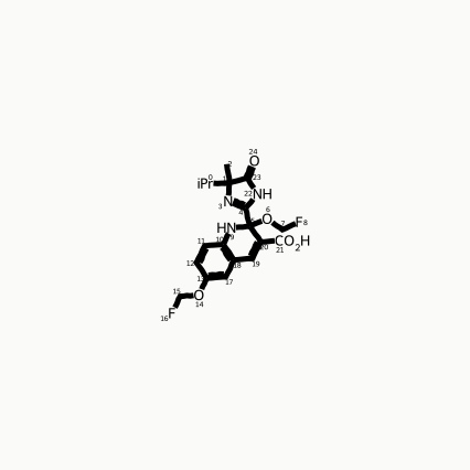 CC(C)C1(C)N=C(C2(OCF)Nc3ccc(OCF)cc3C=C2C(=O)O)NC1=O